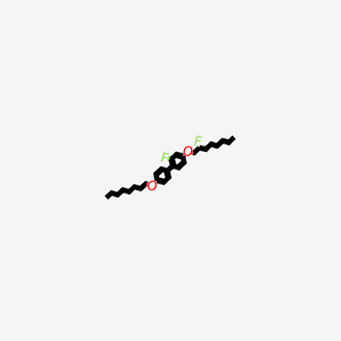 CCCCCCCCOc1ccc(-c2ccc(OCC(F)CCCCCC)cc2F)cc1